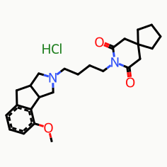 COc1cccc2c1C1CN(CCCCN3C(=O)CC4(CCCC4)CC3=O)CC1C2.Cl